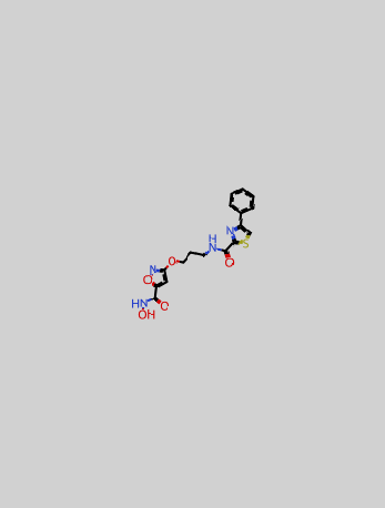 O=C(NO)c1cc(OCCCNC(=O)c2nc(-c3ccccc3)cs2)no1